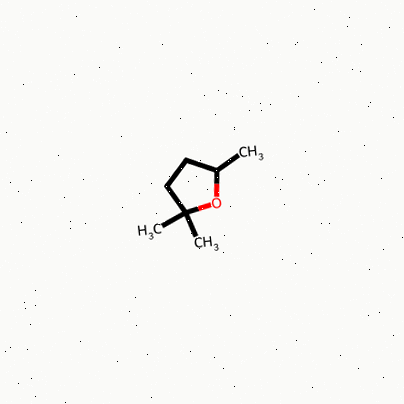 CC1CCC(C)(C)O1